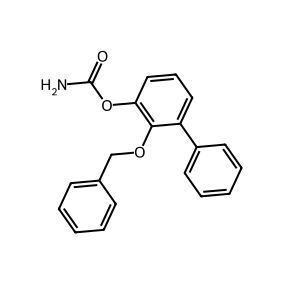 NC(=O)Oc1cccc(-c2ccccc2)c1OCc1ccccc1